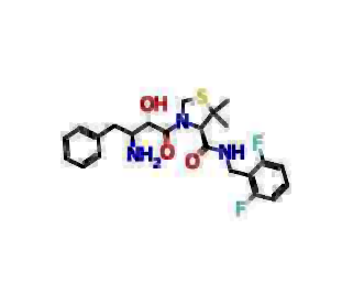 CC1(C)SCN(C(=O)[C@@H](O)[C@@H](N)Cc2ccccc2)[C@@H]1C(=O)NCc1c(F)cccc1F